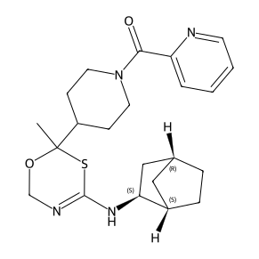 CC1(C2CCN(C(=O)c3ccccn3)CC2)OCN=C(N[C@H]2C[C@@H]3CC[C@H]2C3)S1